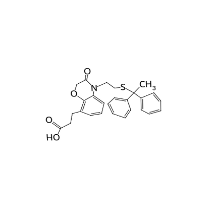 CC(SCCN1C(=O)COc2c(CCC(=O)O)cccc21)(c1ccccc1)c1ccccc1